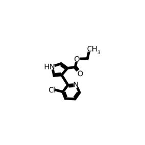 CCOC(=O)c1c[nH]cc1-c1ncccc1Cl